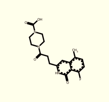 Cc1ccc(F)c2c(=O)[nH]c(CCC(=O)N3CCN(C(=O)O)CC3)cc12